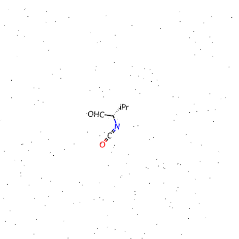 CC(C)[C@@H]([C]=O)N=C=O